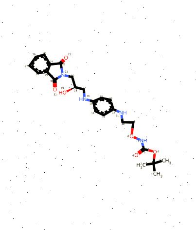 CC(C)(C)OC(=O)NOCCNc1ccc(NC[C@@H](O)CN2C(=O)c3ccccc3C2=O)cc1